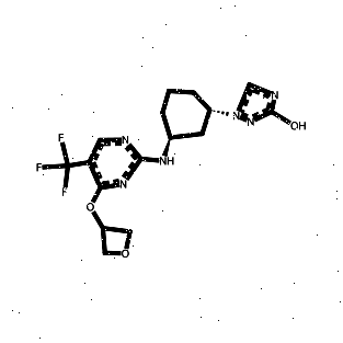 Oc1ncn([C@H]2CCC[C@H](Nc3ncc(C(F)(F)F)c(OC4COC4)n3)C2)n1